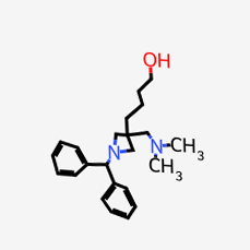 CN(C)CC1(CCCCO)CN(C(c2ccccc2)c2ccccc2)C1